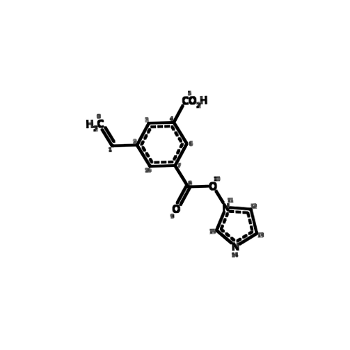 C=Cc1cc(C(=O)O)cc(C(=O)On2ccnc2)c1